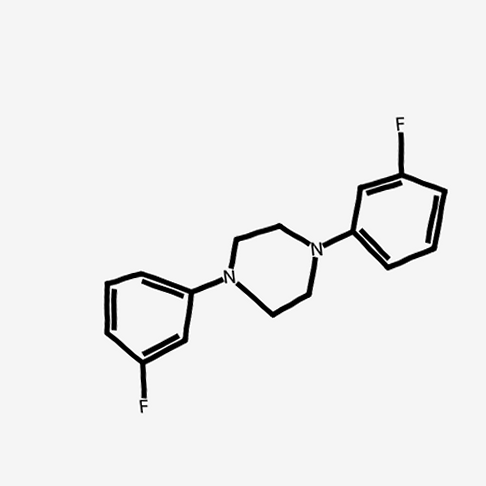 Fc1cccc(N2CCN(c3cccc(F)c3)CC2)c1